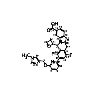 Cn1cnc(COc2cccc(-c3cc(F)c(Cc4nc5ccc(C(=O)O)cc5n4C[C@@H]4CCO4)cc3F)n2)c1